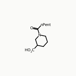 CCCCCC(=O)N1CCCC(C(=O)O)C1